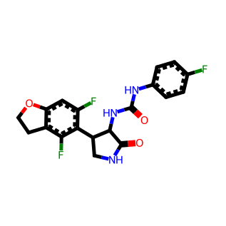 O=C(Nc1ccc(F)cc1)NC1C(=O)NCC1c1c(F)cc2c(c1F)CCO2